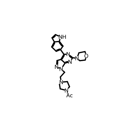 CC(=O)N1CCN(CCn2ncc3c(-c4ccc5cc[nH]c5c4)nc(N4CCOCC4)nc32)CC1